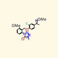 CON=C(C)c1ccc(OCc2c(OC)cccc2-n2nnn(C)c2=O)c(F)c1